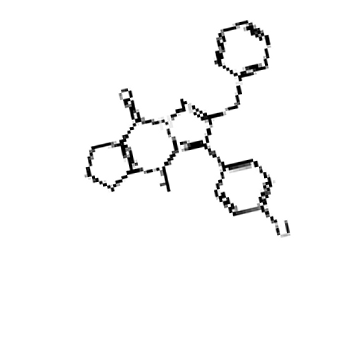 O=c1c2c([nH]c3c(-c4ccc(Cl)cc4)c(Cc4ccccc4)nn13)CCC2